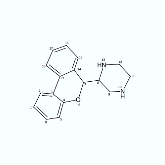 c1ccc2c(c1)OC(C1CNCCN1)c1ccccc1-2